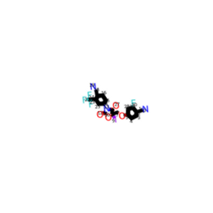 N#Cc1ccc(OCC2(I)OC(=O)N(c3ccc(C#N)c(C(F)(F)F)c3)C2=O)cc1F